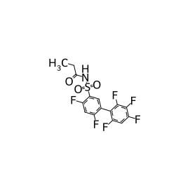 CCC(=O)NS(=O)(=O)c1cc(-c2c(F)cc(F)c(F)c2F)c(F)cc1F